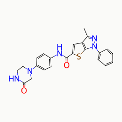 Cc1nn(-c2ccccc2)c2sc(C(=O)Nc3ccc(N4CCNC(=O)C4)cc3)cc12